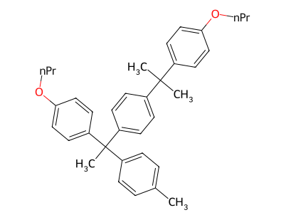 CCCOc1ccc(C(C)(C)c2ccc(C(C)(c3ccc(C)cc3)c3ccc(OCCC)cc3)cc2)cc1